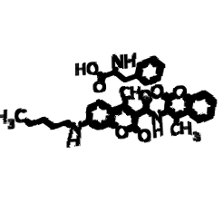 CCCCCNc1ccc2c(C)c(C(=O)Nc3c(C)c4ccccc4oc3=O)c(=O)oc2c1.NC(Cc1ccccc1)C(=O)O